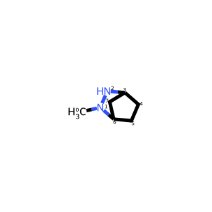 CN1NC2CCC1C2